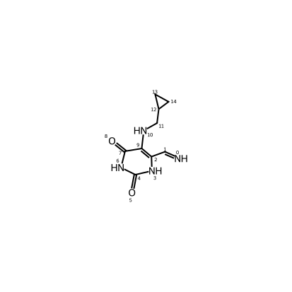 N=Cc1[nH]c(=O)[nH]c(=O)c1NCC1CC1